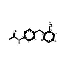 CC(=O)Nc1ccc(Cc2ccccc2O)cc1